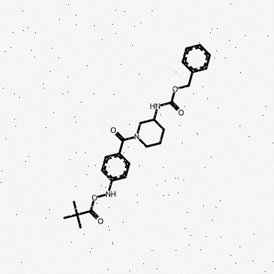 CC(C)(C)C(=O)ONc1ccc(C(=O)N2CCCC(NC(=O)OCc3ccccc3)C2)cc1